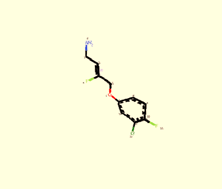 NC/C=C(\F)COc1ccc(F)c(Cl)c1